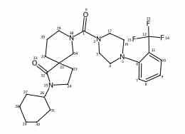 O=C(N1CCN(c2ccccc2C(F)(F)F)CC1)N1CCCC2(CCN(C3CCCCC3)C2=O)C1